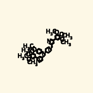 CCOc1ccc(N(Cc2ccnc(-c3cc(OC)c(OC)c(OC)c3)c2)C2CCN(Cc3cncc(-c4cc(OC)c(OC)c(OC)c4)c3)CC2)cc1